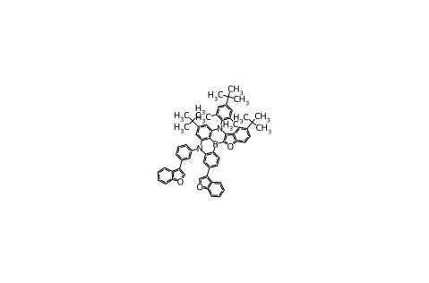 Cc1cc(C(C)(C)C)cc(C)c1N1c2cc(C(C)(C)C)cc3c2B(c2ccc(-c4coc5ccccc45)cc2N3c2cccc(-c3coc4ccccc34)c2)c2oc3ccc(C(C)(C)C)cc3c21